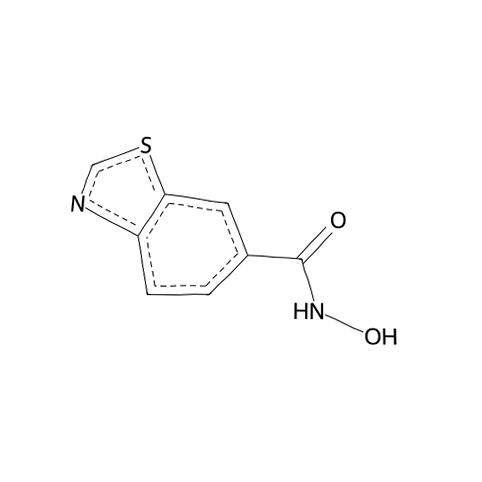 O=C(NO)c1ccc2ncsc2c1